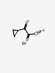 O=C(O)C(=O)C1CC1.[KH]